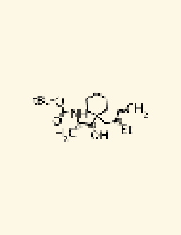 C=C[C@H](CC)CC1([C@H](O)[C@H](C)NC(=O)OC(C)(C)C)CCCCC1